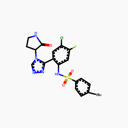 CC(C)(C)c1ccc(S(=O)(=O)Nc2cc(F)c(Cl)cc2-c2nncn2C2CCNC2=O)cc1